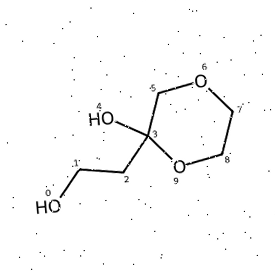 OCCC1(O)COCCO1